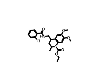 CCOC(=O)N1c2cc(OC)c(OC)cc2C(CNC(=O)c2ccccc2Cl)CC1C